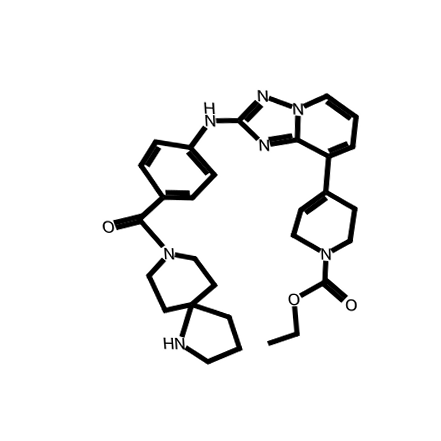 CCOC(=O)N1CC=C(c2cccn3nc(Nc4ccc(C(=O)N5CCC6(CCCN6)CC5)cc4)nc23)CC1